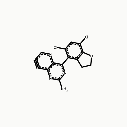 Nc1nc(-c2c(Cl)cc(Cl)c3c2CCO3)c2ncc#cc2n1